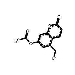 CC(=O)Oc1cc(CBr)c2ccc(=O)oc2c1